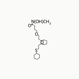 CN(O)C(=O)CCCOCCC1C2CCC(O2)C1CCSC1CCCCC1